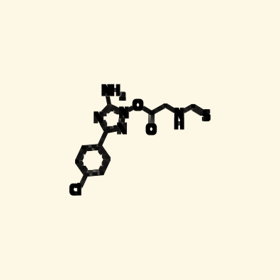 Nc1nc(-c2ccc(Cl)cc2)nn1OC(=O)CNC=S